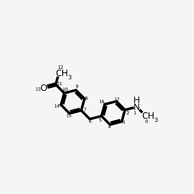 CNc1ccc(Cc2ccc(C(C)=O)cc2)cc1